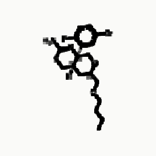 CCCCOC[C@H]1C[C@H]2CSC(N)=N[C@@]2(c2cc(Br)ccc2F)CO1